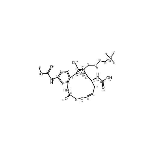 COC(=O)Nc1ccc2c(c1)NC(=O)CCC=CC[C@H](NC(=O)O)c1nc-2c(Cl)n1COCC[Si](C)(C)C